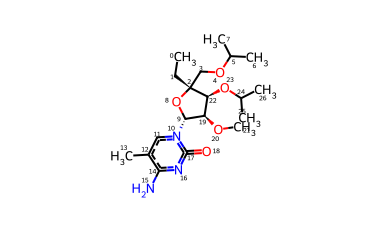 CC[C@]1(COC(C)C)O[C@@H](n2cc(C)c(N)nc2=O)[C@H](OC)[C@@H]1OC(C)C